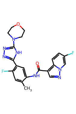 Cc1cc(F)c(-c2nnc(N3CCOCC3)[nH]2)cc1NC(=O)c1cnn2cc(F)ccc12